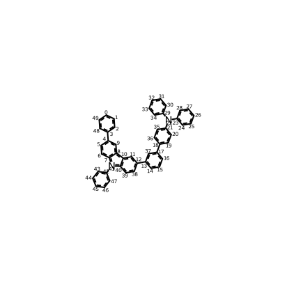 c1ccc(-c2ccc3c(c2)c2cc(-c4cccc(-c5ccc(N(c6ccccc6)c6ccccc6)cc5)c4)ccc2n3-c2ccccc2)cc1